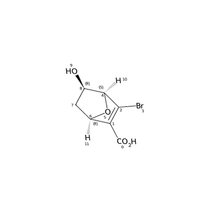 O=C(O)C1=C(Br)[C@H]2O[C@@H]1C[C@H]2O